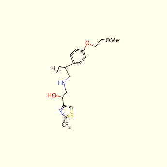 COCCOc1ccc(C(C)CNCC(O)c2csc(C(F)(F)F)n2)cc1